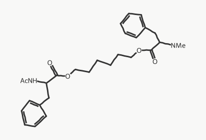 CNC(Cc1ccccc1)C(=O)OCCCCCCOC(=O)C(Cc1ccccc1)NC(C)=O